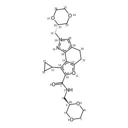 O=C(NC[C@@H]1COCCO1)c1oc2c(c1C1CC1)-c1nn(C[C@H]3COCCO3)cc1CC2